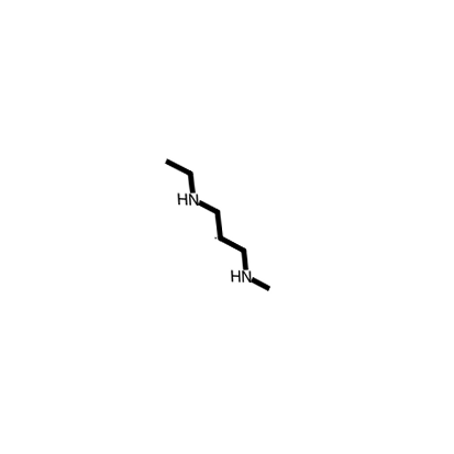 CCNC[CH]CNC